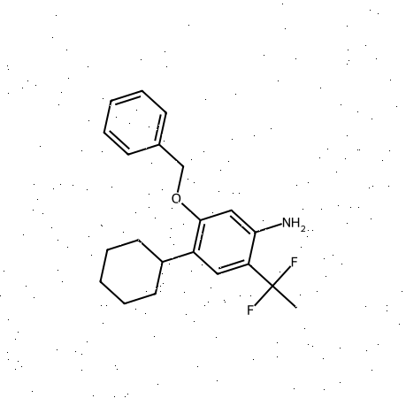 CC(F)(F)c1cc(C2CCCCC2)c(OCc2ccccc2)cc1N